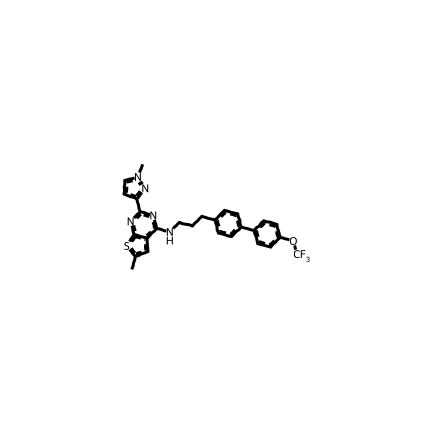 Cc1cc2c(NCCCc3ccc(-c4ccc(OC(F)(F)F)cc4)cc3)nc(-c3ccn(C)n3)nc2s1